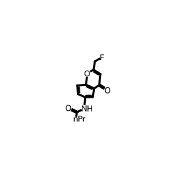 CCCC(=O)Nc1ccc2oc(CF)cc(=O)c2c1